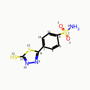 NS(=O)(=O)c1ccc(-c2nnc(S)s2)cc1